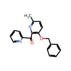 Cc1ccc(OCc2ccccc2)c(C(=O)c2ccccn2)n1